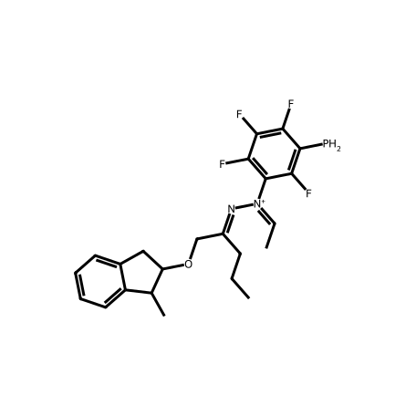 C/C=[N+](\N=C(/CCC)COC1Cc2ccccc2C1C)c1c(F)c(F)c(F)c(P)c1F